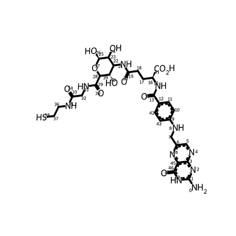 Nc1nc2ncc(CNc3ccc(C(=O)N[C@@H](CCC(=O)NC4C(O)[C@H](O)OC(C(=O)NCC(=O)NCCS)[C@H]4O)C(=O)O)cc3)nc2c(=O)[nH]1